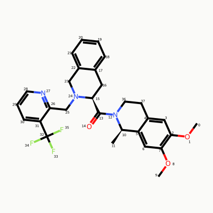 COc1cc2c(cc1OC)[C@@H](C)N(C(=O)[C@@H]1Cc3ccccc3CN1Cc1ncccc1C(F)(F)F)CC2